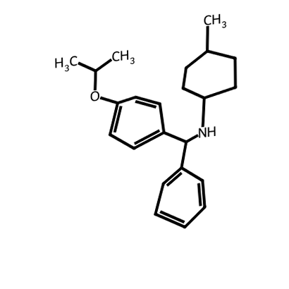 CC1CCC(NC(c2ccccc2)c2ccc(OC(C)C)cc2)CC1